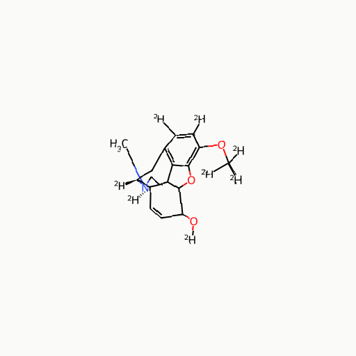 [2H]OC1C=C[C@]2([2H])[C@@]34CCN(C)[C@]2([2H])Cc2c([2H])c([2H])c(OC([2H])([2H])[2H])c(c23)OC14